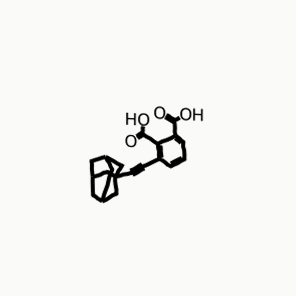 O=C(O)c1cccc(C#CC23CC4CC(CC(C4)C2)C3)c1C(=O)O